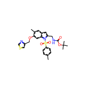 Cc1ccc(S(=O)(=O)n2c(CNC(=O)OC(C)(C)C)cc3cc(C)c(OCc4cscn4)cc32)cc1